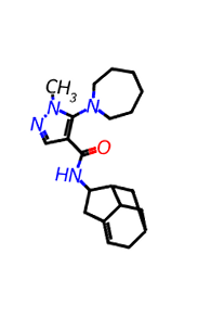 Cn1ncc(C(=O)NC2CC3=CCC4CC3C2C4)c1N1CCCCCC1